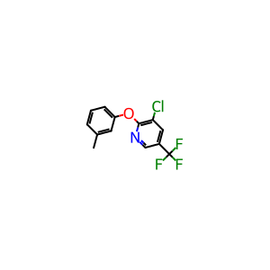 Cc1cccc(Oc2ncc(C(F)(F)F)cc2Cl)c1